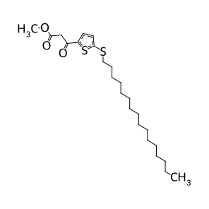 CCCCCCCCCCCCCCCCSc1ccc(C(=O)CC(=O)OC)s1